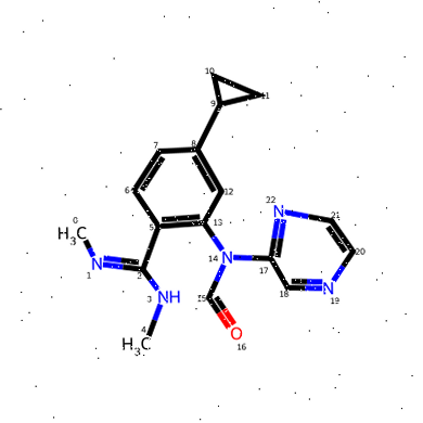 C/N=C(/NC)c1ccc(C2CC2)cc1N(C=O)c1cnccn1